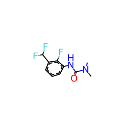 CN(C)C(=O)Nc1cccc(C(F)F)c1F